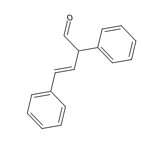 O=CC(/C=C/c1ccccc1)c1ccccc1